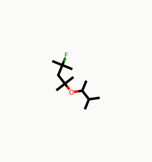 CC(C)C(C)OC(C)(C)CC(C)(C)F